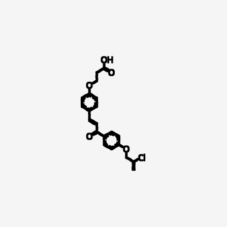 C=C(Cl)COc1ccc(C(=O)C=Cc2ccc(OCCC(=O)O)cc2)cc1